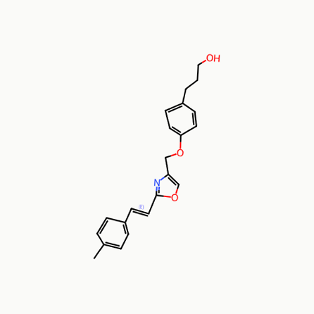 Cc1ccc(/C=C/c2nc(COc3ccc(CCCO)cc3)co2)cc1